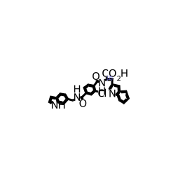 O=C(O)/C(=C/c1cnc2ccccc2c1)NC(=O)c1ccc(C(=O)NCc2ccc3cc[nH]c3c2)cc1Cl